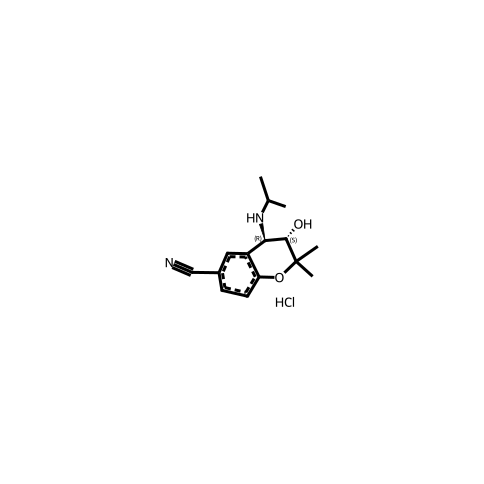 CC(C)N[C@@H]1c2cc(C#N)ccc2OC(C)(C)[C@H]1O.Cl